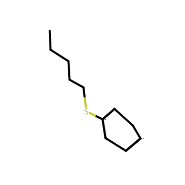 CCCCCS[C]1CC[CH]CC1